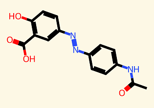 CC(=O)Nc1ccc(N=Nc2ccc(O)c(C(=O)O)c2)cc1